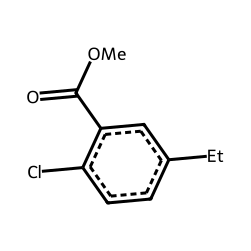 CCc1ccc(Cl)c(C(=O)OC)c1